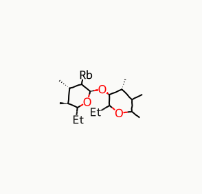 CCC1O[C@H](O[C@@H]2C(CC)OC(C)C(C)[C@H]2C)[CH]([Rb])[C@@H](C)[C@@H]1C